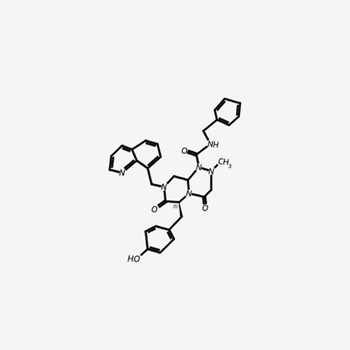 CN1CC(=O)N2C(CN(Cc3cccc4cccnc34)C(=O)[C@@H]2Cc2ccc(O)cc2)N1C(=O)NCc1ccccc1